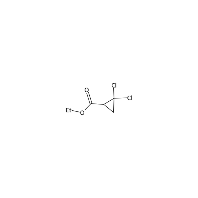 CCOC(=O)C1CC1(Cl)Cl